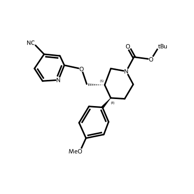 COc1ccc([C@@H]2CCN(C(=O)OC(C)(C)C)C[C@H]2COc2cc(C#N)ccn2)cc1